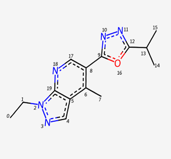 CCn1ncc2c(C)c(-c3nnc(C(C)C)o3)cnc21